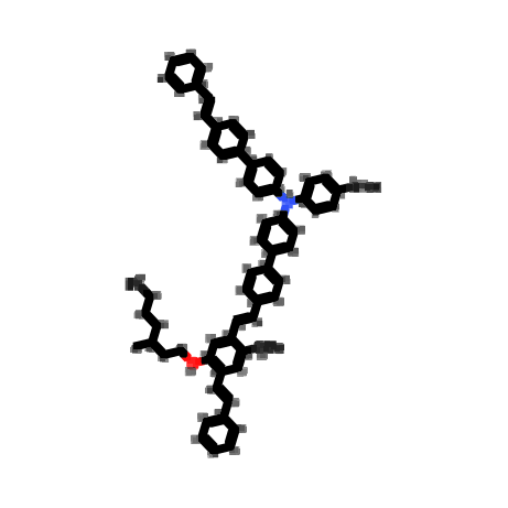 CCCCCCc1ccc(N(c2ccc(-c3ccc(C=Cc4ccccc4)cc3)cc2)c2ccc(-c3ccc(C=Cc4cc(OCCC(C)CCCC(C)C)c(C=Cc5ccccc5)cc4OC)cc3)cc2)cc1